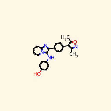 Cc1noc(C)c1-c1ccc(-c2nc3ccccn3c2Nc2ccc(O)cc2)cc1